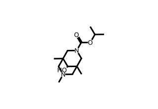 CC(C)OC(=O)N1CC2(C)CN(C)CC(C)(C1)C2O